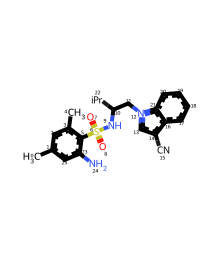 Cc1cc(C)c(S(=O)(=O)NC(Cn2cc(C#N)c3ccccc32)C(C)C)c(N)c1